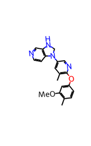 COc1cc(Oc2ncc(N3CNc4cnccc43)cc2C)ccc1C